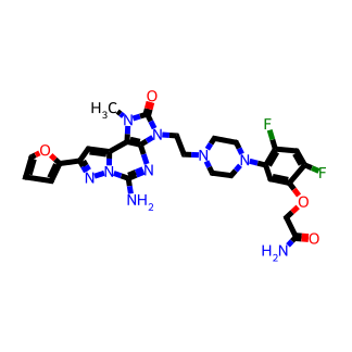 Cn1c(=O)n(CCN2CCN(c3cc(OCC(N)=O)c(F)cc3F)CC2)c2nc(N)n3nc(-c4ccco4)cc3c21